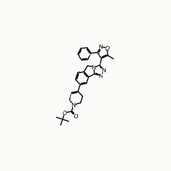 Cc1onc(-c2ccccc2)c1-c1nnc2n1Cc1ccc(C3=CCN(C(=O)OC(C)(C)C)CC3)cc1-2